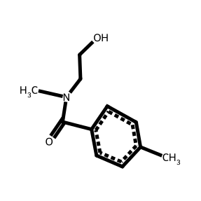 Cc1ccc(C(=O)N(C)CCO)cc1